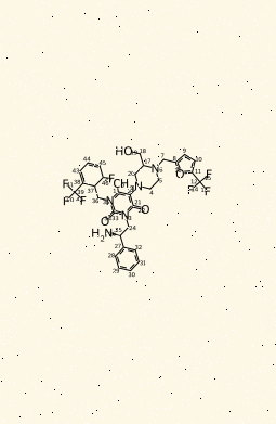 Cc1c(N2CCN(Cc3ccc(C(F)(F)F)o3)C(CO)C2)c(=O)n(C[C@H](N)c2ccccc2)c(=O)n1CC1C(C(F)(F)F)=CC=CC1F